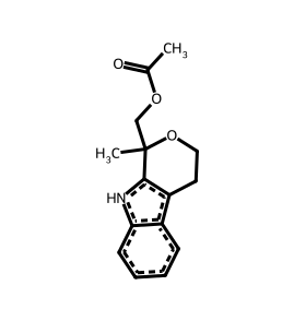 CC(=O)OCC1(C)OCCc2c1[nH]c1ccccc21